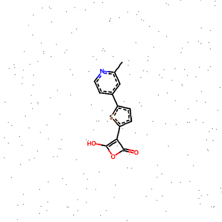 Cc1cc(-c2ccc(C3=C(O)OC3=O)s2)ccn1